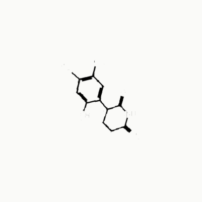 Cc1cc(C2CCC(=O)NC2=O)c(C)cc1F